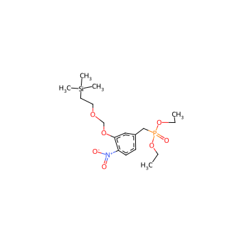 CCOP(=O)(Cc1ccc([N+](=O)[O-])c(OCOCC[Si](C)(C)C)c1)OCC